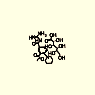 CS(=O)(=O)c1cc(C(=O)NC(=N)N)ccc1N1CCCCC1.O=C(O)[C@H](O)[C@@H](O)[C@H](O)[C@H](O)CO